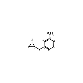 Cc1[c]ccc(CC2CO2)c1